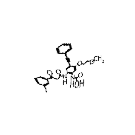 COCCOc1cc(NC(=O)O)c(NC(=O)CC(=O)c2cccc(I)c2)cc1C#Cc1ccccc1